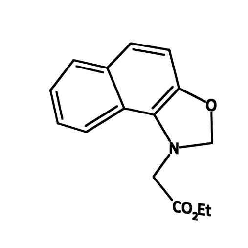 CCOC(=O)CN1COc2ccc3ccccc3c21